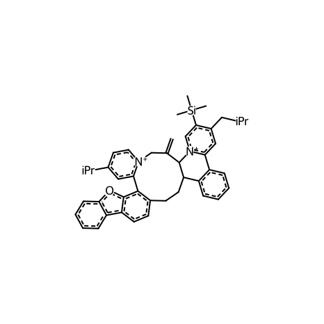 C=C1C[n+]2ccc(C(C)C)cc2-c2c(ccc3c2oc2ccccc23)CCC2c3ccccc3-c3cc(CC(C)C)c([Si](C)(C)C)c[n+]3C12